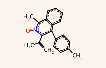 C=C(C)c1c(-c2ccc(C)cc2)c2ccccc2c(C)[n+]1[O-]